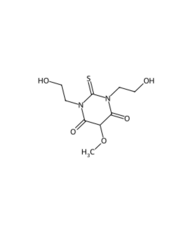 COC1C(=O)N(CCO)C(=S)N(CCO)C1=O